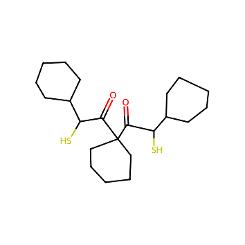 O=C(C(S)C1CCCCC1)C1(C(=O)C(S)C2CCCCC2)CCCCC1